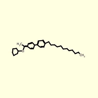 CCCCCCCCCCCCc1ccc(C2C=CC(=C(C)OC3CCCCC3)C=C2)cc1